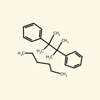 CC(C)(c1ccccc1)C(C)(C)c1ccccc1.CCCCCC